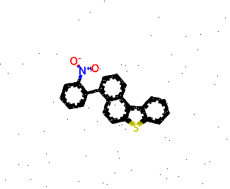 O=[N+]([O-])c1ccccc1-c1cccc2c1ccc1sc3ccccc3c12